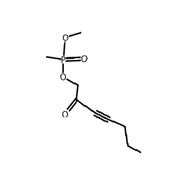 CCCC#CC(=O)COP(C)(=O)OC